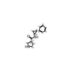 O=C(N[C@H]1C[C@@H]1c1ccccc1)[C@H]1CCNC1